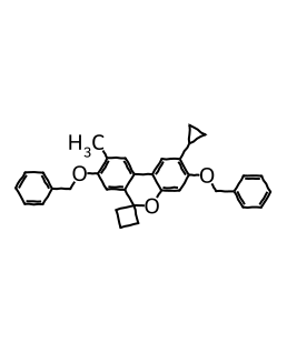 Cc1cc2c(cc1OCc1ccccc1)C1(CCC1)Oc1cc(OCc3ccccc3)c(C3CC3)cc1-2